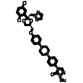 CCC(C)n1ncn(-c2ccc(N3CCN(c4ccc(OC[C@@H]5CO[C@@](Cn6nccn6)(c6cc(Cl)ccc6Cl)O5)cc4)CC3)cc2)c1=O